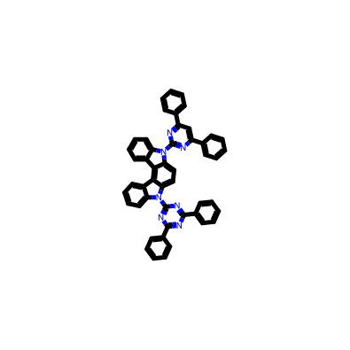 c1ccc(-c2cc(-c3ccccc3)nc(-n3c4ccccc4c4c5c6ccccc6n(-c6nc(-c7ccccc7)nc(-c7ccccc7)n6)c5ccc43)n2)cc1